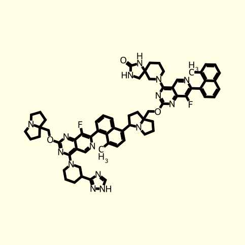 Cc1cccc2cccc(-c3ncc4c(N5CCCC6(CNC(=O)N6)C5)nc(OCC56CCCN5C(c5ccc(C)c7c(-c8ncc9c(N%10CCCC(c%11nc[nH]n%11)C%10)nc(OCC%10%11CCCN%10CCC%11)nc9c8F)cccc57)CC6)nc4c3F)c12